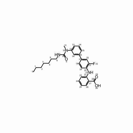 CCCCCCCNC(=O)N(C)c1cccc(-c2ccc(Nc3ccccc3C(=O)O)c(F)c2)c1